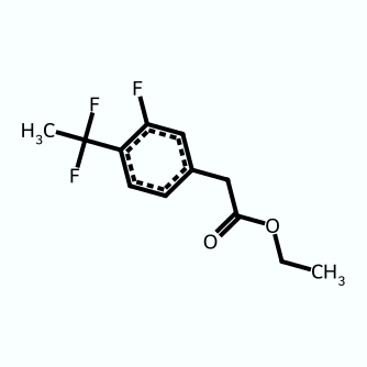 CCOC(=O)Cc1ccc(C(C)(F)F)c(F)c1